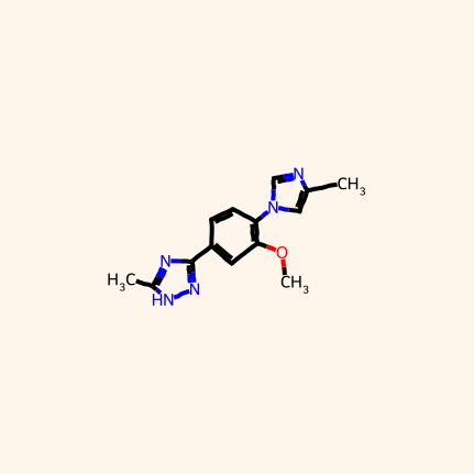 COc1cc(-c2n[nH]c(C)n2)ccc1-n1cnc(C)c1